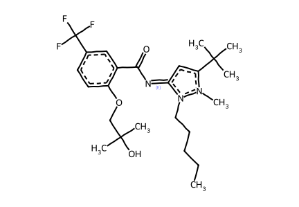 CCCCCn1/c(=N/C(=O)c2cc(C(F)(F)F)ccc2OCC(C)(C)O)cc(C(C)(C)C)n1C